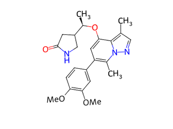 COc1ccc(-c2cc(O[C@H](C)C3CNC(=O)C3)c3c(C)cnn3c2C)cc1OC